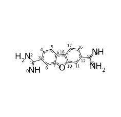 N=C(N)c1ccc2c(c1)oc1cc(C(=N)N)ccc12